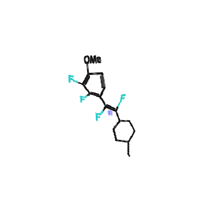 COc1ccc(/C(F)=C(\F)C2CCC(C)CC2)c(F)c1F